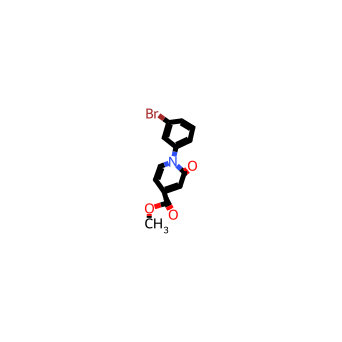 COC(=O)c1ccn(-c2cccc(Br)c2)c(=O)c1